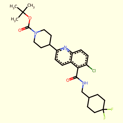 CC(C)(C)OC(=O)N1CCC(c2ccc3c(C(=O)NCC4CCC(F)(F)CC4)c(Cl)ccc3n2)CC1